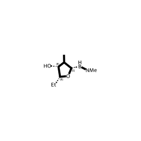 CC[C@H]1O[C@@H](BNC)C(C)[C@H]1O